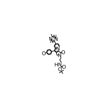 COc1ccc(-c2c3c(n4ccc(-c5nnc(C)nn5)cc24)C(=O)N(CCCNC(=O)OC(C)(C)C)C3)cc1